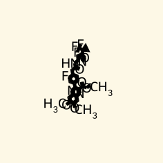 CCOC(=O)c1nc2cc(OC)c(OC)cc2nc1-c1ccc(CC(=O)Nc2cc(C3(C(F)(F)F)CC3)on2)c(F)c1